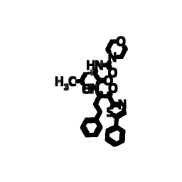 CC(C)C[C@H](NC(=O)N1CCOCC1)C(=O)NC(CCc1ccccc1)C(=O)c1ncc(-c2ccccc2)s1